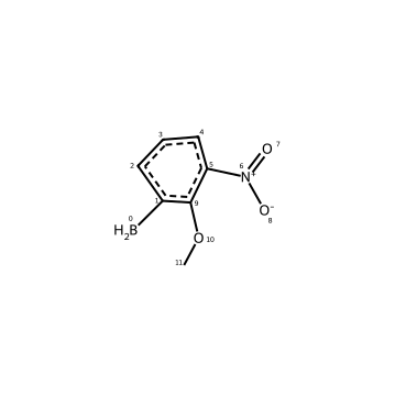 Bc1cccc([N+](=O)[O-])c1OC